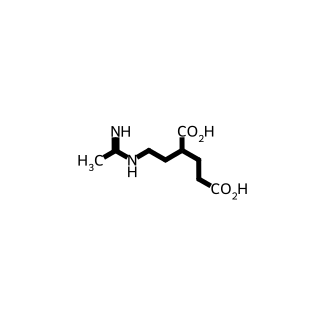 CC(=N)NCCC(CCC(=O)O)C(=O)O